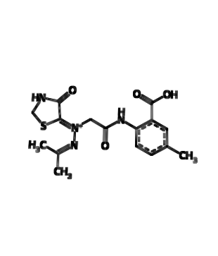 CC(C)=N[N+](CC(=O)Nc1ccc(C)cc1C(=O)O)=C1SCNC1=O